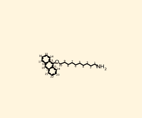 NCCCCCCCCCCOc1c2ccccc2cc2ccccc12